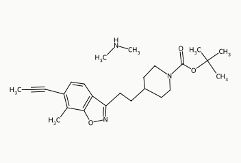 CC#Cc1ccc2c(CCC3CCN(C(=O)OC(C)(C)C)CC3)noc2c1C.CNC